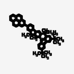 CC(C)(C)c1ccc2c(c1)c1cc(C(C)(C)C)cc3c1n2-c1cc2c(cc1C3(C)C)-c1ccc(-c3cc4ccc5cccc6ccc(c3)c4c56)cc1C2(C)C